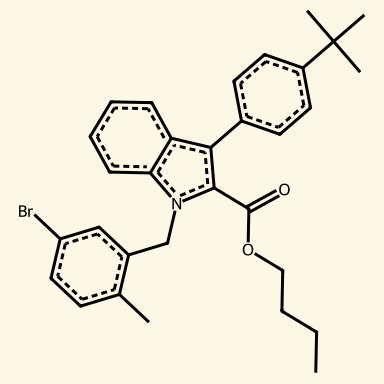 CCCCOC(=O)c1c(-c2ccc(C(C)(C)C)cc2)c2ccccc2n1Cc1cc(Br)ccc1C